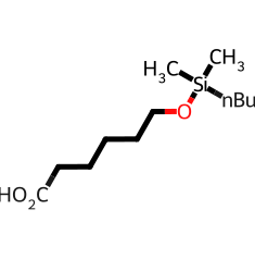 CCCC[Si](C)(C)OCCCCCC(=O)O